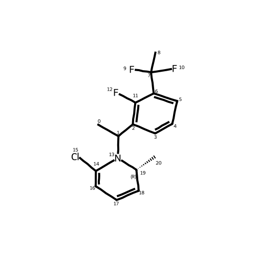 CC(c1cccc(C(C)(F)F)c1F)N1C(Cl)=CC=C[C@H]1C